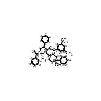 CN(CC(c1ccccc1)C(CN1CCC(O)(c2ccccc2)CC1)OCc1cc(C(F)(F)F)cc(C(F)(F)F)c1)C(=O)c1ccccc1